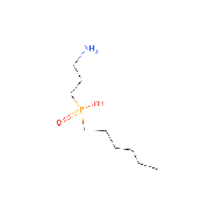 CCCCCCP(=O)(O)CCCN